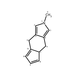 Cn1cc2c(c1)CC1C=CC=C1C2